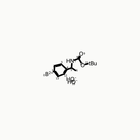 [B+2]c1ccc(C(C)NC(=O)OC(C)(C)C)cc1.[OH-].[OH-]